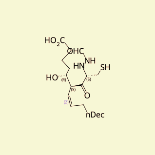 CCCCCCCCCCC/C=C\[C@H](C(=O)[C@@H](CS)NNC=O)[C@H](O)CCCC(=O)O